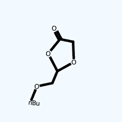 CCCCOCC1OCC(=O)O1